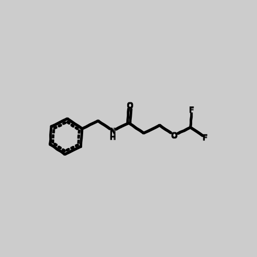 O=C(CCOC(F)F)NCc1ccccc1